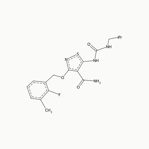 Cc1cccc(COc2nsc(NC(=O)NCC(C)C)c2C(N)=O)c1F